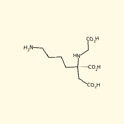 NCCCC[C@](CC(=O)O)(NCC(=O)O)C(=O)O